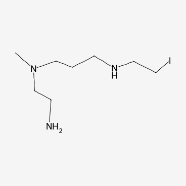 CN(CCN)CCCNCCI